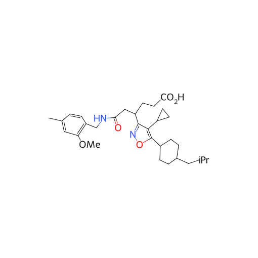 COc1cc(C)ccc1CNC(=O)CC(CCC(=O)O)c1noc(C2CCC(CC(C)C)CC2)c1C1CC1